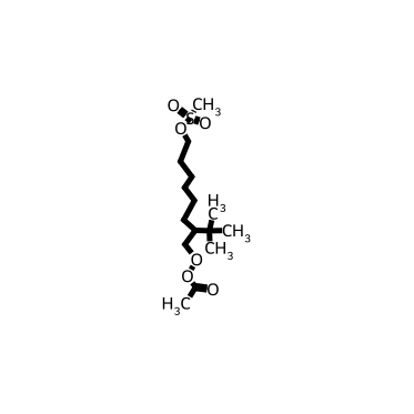 CC(=O)OOCC(CCCCCCOS(C)(=O)=O)C(C)(C)C